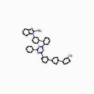 CC(C)(C)c1nc2ccccc2n1-c1cccc(-c2ccccc2-c2nc(-c3ccccc3)nc(-c3cccc(-c4ccc(-c5cccc(C#N)c5)cc4)c3)n2)c1